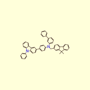 CC1(C)c2ccccc2-c2ccc(CN(c3ccc(-c4ccc5c(c4)c4ccccc4n5-c4ccccc4)cc3)c3cccc(-c4ccccc4)c3)cc21